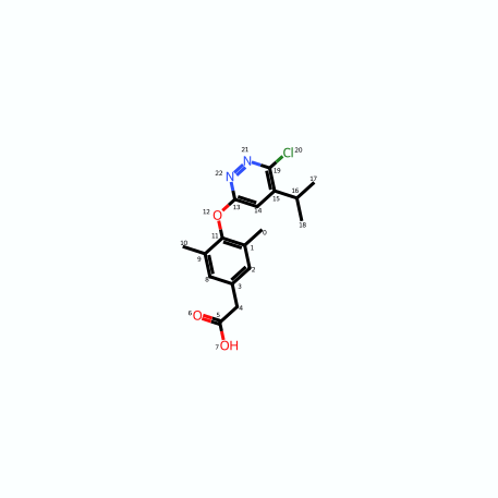 Cc1cc(CC(=O)O)cc(C)c1Oc1cc(C(C)C)c(Cl)nn1